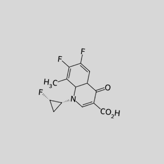 CC1=C(F)C(F)=CC2C(=O)C(C(=O)O)=CN([C@@H]3C[C@@H]3F)C12